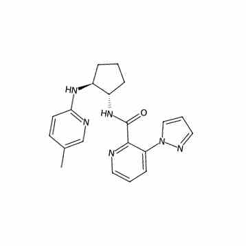 Cc1ccc(N[C@H]2CCC[C@@H]2NC(=O)c2ncccc2-n2cccn2)nc1